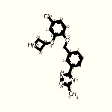 Cc1nc(-c2cccc(COc3ccc(Cl)cc3OC3CNC3)c2)no1